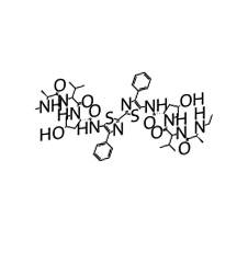 CCN[C@@H](C)C(=O)N[C@H](C(=O)N1C[C@@H](O)C[C@H]1C(=O)Nc1sc(-c2nc(-c3ccccc3)c(NC(=O)[C@@H]3C[C@H](O)CN3C(=O)[C@@H](NC(=O)[C@H](C)NC)C(C)C)s2)nc1-c1ccccc1)C(C)C